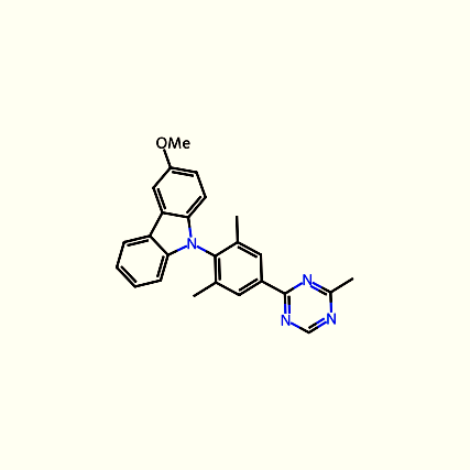 COc1ccc2c(c1)c1ccccc1n2-c1c(C)cc(-c2ncnc(C)n2)cc1C